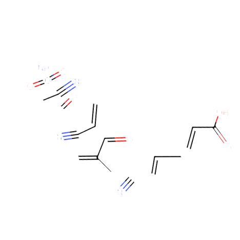 C#N.C=C(C)C=O.C=CC.C=CC#N.C=CC(=O)O.C=O.CC#N.N.O=C=O